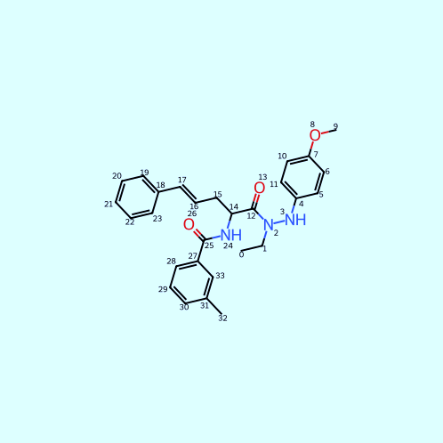 CCN(Nc1ccc(OC)cc1)C(=O)C(CC=Cc1ccccc1)NC(=O)c1cccc(C)c1